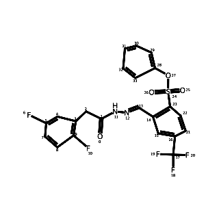 O=C(Cc1cc(F)ccc1F)NN=Cc1cc(C(F)(F)F)ccc1S(=O)(=O)Oc1ccccc1